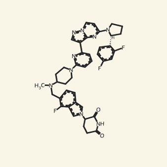 CN(Cc1ccc2cn(C3CCC(=O)NC3=O)cc2c1F)C1CCN(c2cccc(-c3cnn4ccc(N5CCC[C@@H]5c5ccc(F)cc5F)nc34)n2)CC1